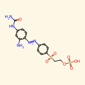 NC(=O)Nc1ccc(/N=N/c2ccc(S(=O)(=O)CCOS(=O)(=O)O)cc2)c(N)c1